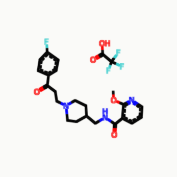 COc1ncccc1C(=O)NCC1CCN(CCC(=O)c2ccc(F)cc2)CC1.O=C(O)C(F)(F)F